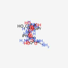 CC[C@H](C)[C@H](NC(=O)[C@H](CO)NC(=O)[C@@H](NC(=O)[C@H](CC(C)C)NC(=O)CNC(=O)[C@H](CC(N)=O)NC(=O)[C@@H](NC(=O)[C@H](CCC(N)=O)NC(=O)[C@@H]1CCCN1C(=O)[C@H](Cc1ccc(O)cc1)NC(=O)[C@@H](N)CCCCN)C(C)C)[C@@H](C)O)C(=O)O